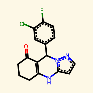 O=C1CCCC2=C1C(c1ccc(F)c(Cl)c1)n1nccc1N2